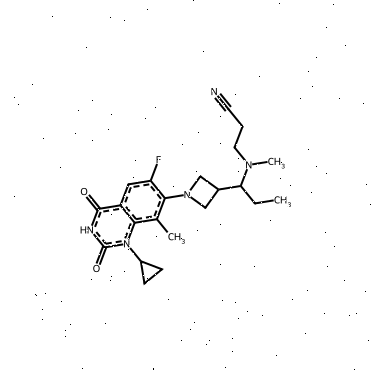 CCC(C1CN(c2c(F)cc3c(=O)[nH]c(=O)n(C4CC4)c3c2C)C1)N(C)CCC#N